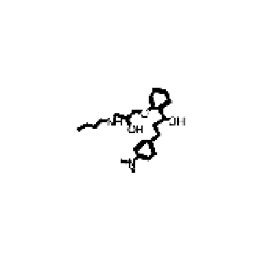 CCCCNCC(O)COc1ccccc1C(O)CCc1ccc(N(C)C)cc1